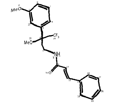 COc1cccc(C(CNC(=O)C=Cc2ccccc2)(OC)C(F)(F)F)c1